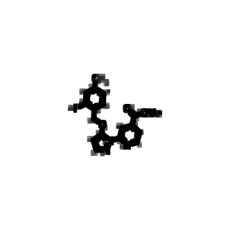 COC(=O)c1ccnc(-n2nccc2OCc2ccc(C)cc2F)c1